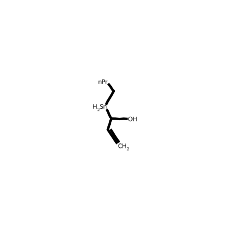 C=C[CH](O)[SnH2][CH2]CCC